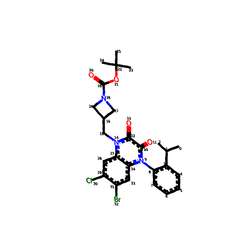 CC(C)c1ccccc1-n1c(=O)c(=O)n(CC2CN(C(=O)OC(C)(C)C)C2)c2cc(Cl)c(Br)cc21